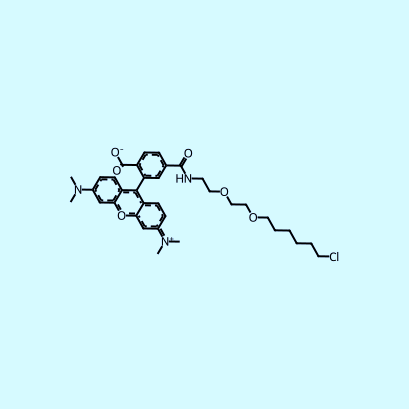 CN(C)c1ccc2c(-c3cc(C(=O)NCCOCCOCCCCCCCl)ccc3C(=O)[O-])c3ccc(=[N+](C)C)cc-3oc2c1